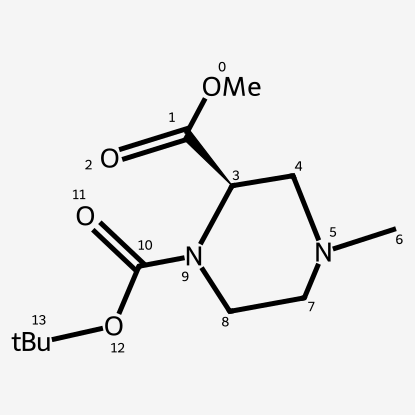 COC(=O)[C@H]1CN(C)CCN1C(=O)OC(C)(C)C